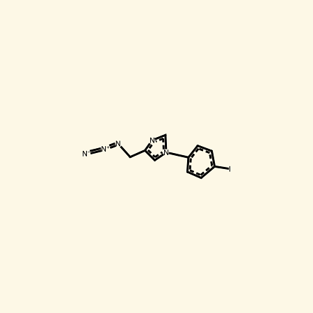 [N-]=[N+]=NCc1cn(-c2ccc(I)cc2)cn1